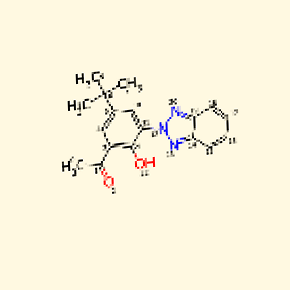 CC(=O)c1cc(C(C)(C)C)cc(-n2nc3ccccc3n2)c1O